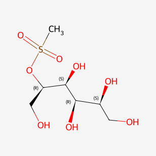 CS(=O)(=O)O[C@H](CO)[C@@H](O)[C@H](O)[C@@H](O)CO